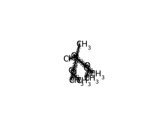 CCCCCCCCCCN(C(=O)CCCCl)C(CCCCCCCCC(=O)OCC(CCCC)CCCCCC)CCCCCCCCC(=O)OCC(CCCC)CCCCCC